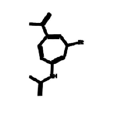 C=C(C)NC1=CC(CC)C=C(C(=C)C)C=C1